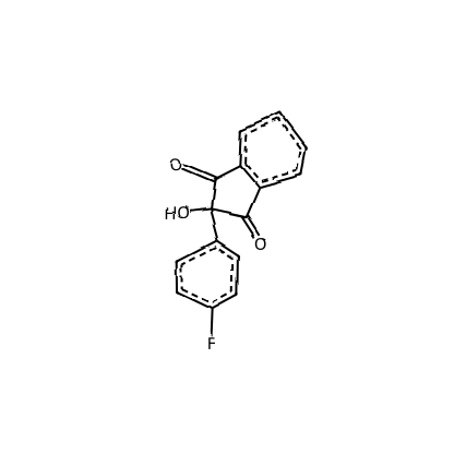 O=C1c2ccccc2C(=O)C1(O)c1ccc(F)cc1